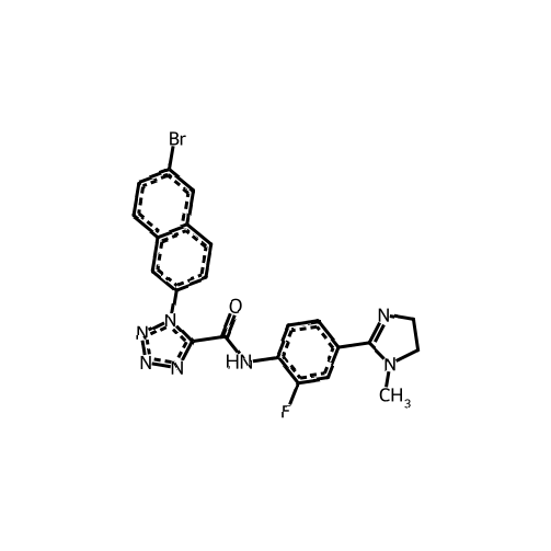 CN1CCN=C1c1ccc(NC(=O)c2nnnn2-c2ccc3cc(Br)ccc3c2)c(F)c1